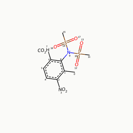 Cc1c([N+](=O)[O-])ccc(C(=O)O)c1N(S(C)(=O)=O)S(C)(=O)=O